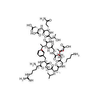 CC(C)C[C@H](NC(=O)[C@H](Cc1ccccc1)NC(=O)[C@@H](N)CCCNC(=N)N)C(=O)N[C@@H](C)C(=O)N[C@@H](CCCCN)C(=O)N[C@@H](CCC(=O)O)C(=O)N[C@@H](CC(N)=O)C(=O)N[C@H](C(=O)N[C@H](C(=O)N[C@@H](CCC(N)=O)C(=O)N[C@@H](CC(=O)O)C(=O)O)[C@@H](C)O)C(C)C